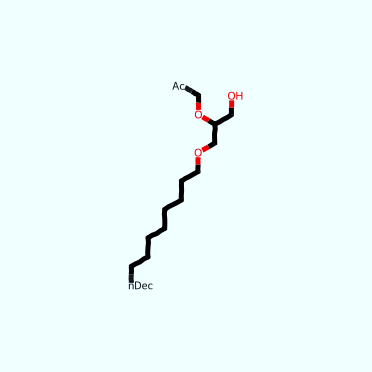 CCCCCCCCCCCCCCCCCCOCC(CO)OCC(C)=O